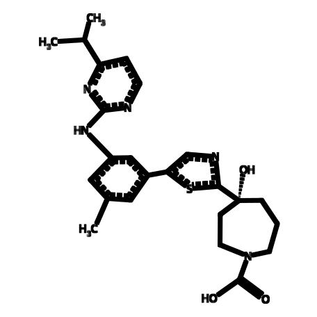 Cc1cc(Nc2nccc(C(C)C)n2)cc(-c2cnc([C@@]3(O)CCCN(C(=O)O)CC3)s2)c1